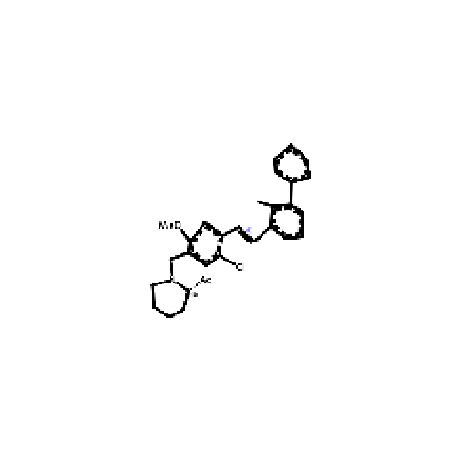 COc1cc(/C=C/c2cccc(-c3ccccc3)c2C)c(Cl)cc1CN1CCCC[C@H]1C(C)=O